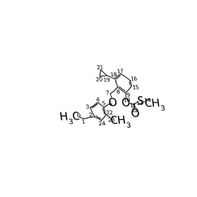 CCc1ccc(OCc2c(OC(=O)SC)cccc2C2CC2)c(C)c1